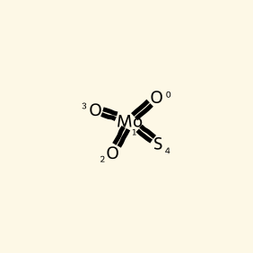 [O]=[Mo](=[O])(=[O])=[S]